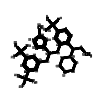 CCC(c1ccc(C(F)(F)F)cc1CN(Cc1cc(C(F)(F)F)cc(C(F)(F)F)c1)c1nnn(C)n1)N1CCOCC1